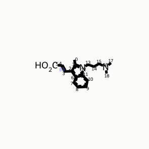 Cc1c(/C=C/C(=O)O)c2ccccc2n1CCCN(C)C